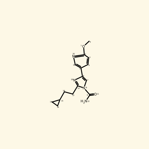 COc1ccc(-c2cn(C(N)=O)c(CCC3CC3)n2)cn1